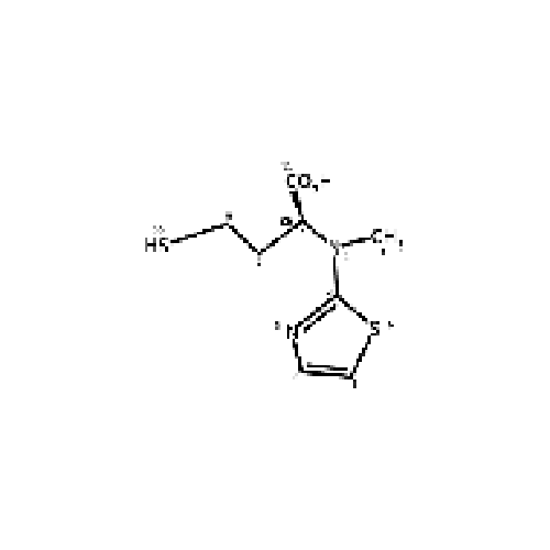 CN(c1nccs1)[C@@H](CCS)C(=O)O